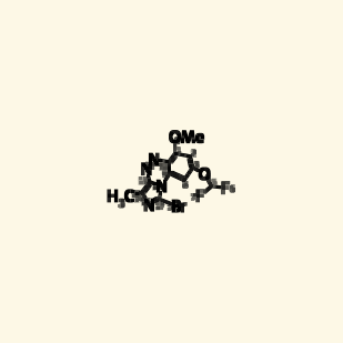 COc1cc(OC(F)F)cc2c1nnc1c(C)nc(Br)n12